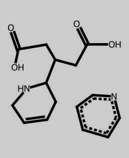 O=C(O)CC(CC(=O)O)C1CC=CCN1.c1ccncc1